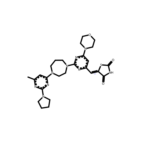 Cc1cc(N2CCCN(c3nc(/C=C4\SC(=O)NC4=O)cc(N4CCOCC4)n3)CC2)nc(N2CCCC2)n1